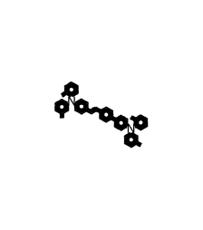 Cc1cccc(N(c2ccc(/C=C/c3ccc(-c4ccc(N(c5cccc(C)c5)c5ccccc5C)cc4)cc3)cc2)c2ccccc2C)c1